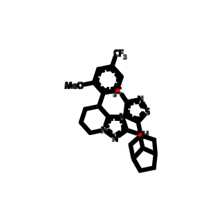 COc1cc(C(F)(F)F)ccc1C1CCCn2nc(NC3C4CCC3CN(c3cc(C)ns3)C4)nc21